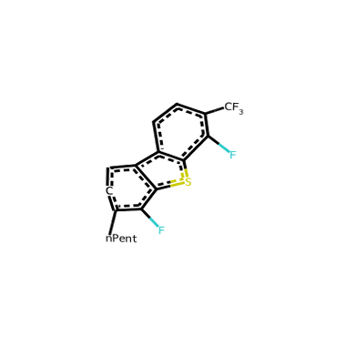 CCCCCc1ccc2c(sc3c(F)c(C(F)(F)F)ccc32)c1F